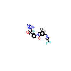 Cn1cnnc1[C@@H](F)C1(c2cccc(N3Cc4c(cc(CN5CC(C(F)F)C5)cc4C(F)(F)F)C3=O)c2)COC1